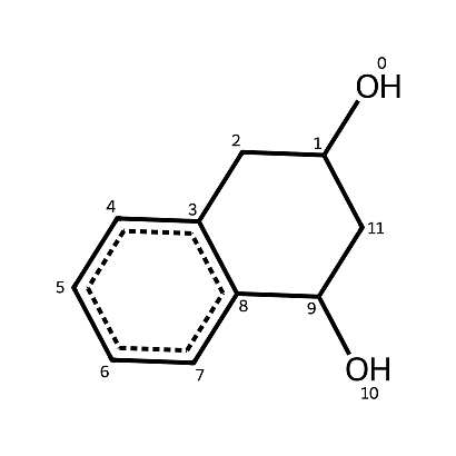 OC1Cc2ccccc2C(O)C1